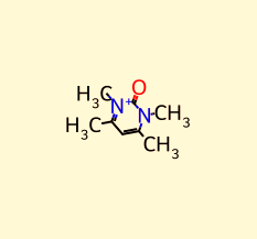 Cc1cc(C)[n+](C)c(=O)n1C